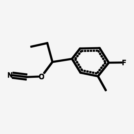 CCC(OC#N)c1ccc(F)c(C)c1